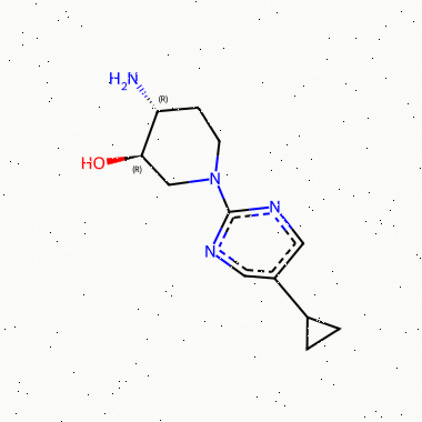 N[C@@H]1CCN(c2ncc(C3CC3)cn2)C[C@H]1O